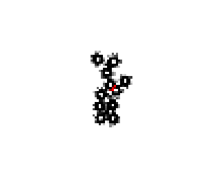 c1ccc(-c2ccc(N(c3ccc4c(c3)C(c3ccccc3)(c3ccccc3)c3ccccc3-4)c3ccccc3-c3cccc(-c4ccc5c(c4)c4ccccc4n5-c4ccccc4)c3)cc2)cc1